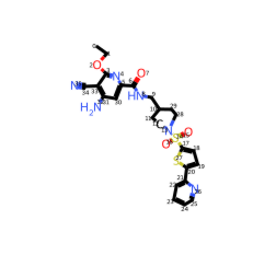 CCOc1nc(C(=O)NCC2CCN(S(=O)(=O)c3ccc(-c4ccccn4)s3)CC2)cc(N)c1C#N